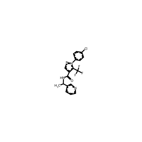 CC(NC(=O)c1cnn(-c2ccc(Cl)cc2)c1C(F)(F)F)c1cccnc1